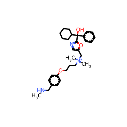 CNCc1ccc(OCCC[N+](C)(C)Cc2cnc(C(O)(c3ccccc3)C3CCCCC3)o2)cc1